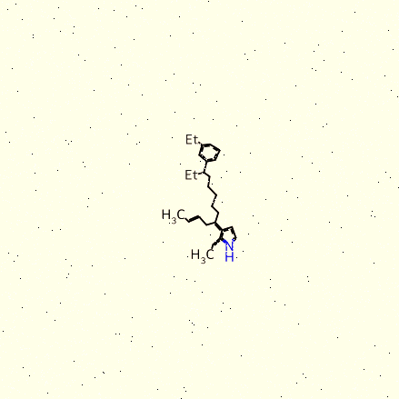 CC=CC/C(CCCCCC(CC)c1cccc(CC)c1)=c1/cc[nH]c1=CC